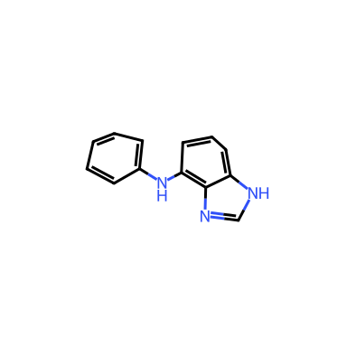 c1ccc(Nc2cccc3[nH]cnc23)cc1